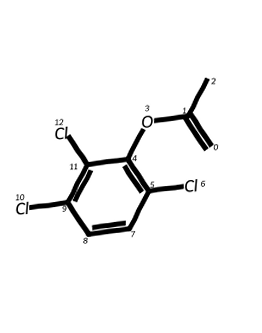 C=C(C)Oc1c(Cl)ccc(Cl)c1Cl